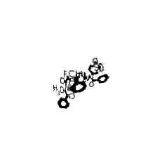 C[C@H](NC(=O)C(C)(F)F)[C@H](Oc1ccc2c(cnn2N(C(=O)c2ccccc2)C2CCS(=O)(=O)C2)c1)c1ccccc1